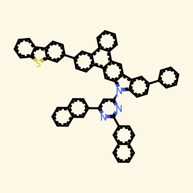 c1ccc(-c2ccc3c(c2)c2cc4c5ccccc5c5cc(-c6ccc7c(c6)sc6ccccc67)ccc5c4cc2n3-c2cc(-c3ccc4ccccc4c3)nc(-c3ccc4ccccc4c3)n2)cc1